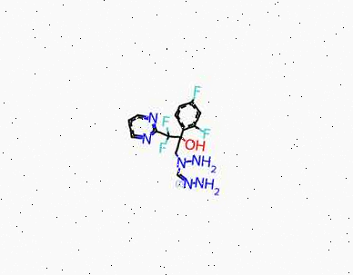 N/N=C\N(N)CC(O)(c1ccc(F)cc1F)C(F)(F)c1ncccn1